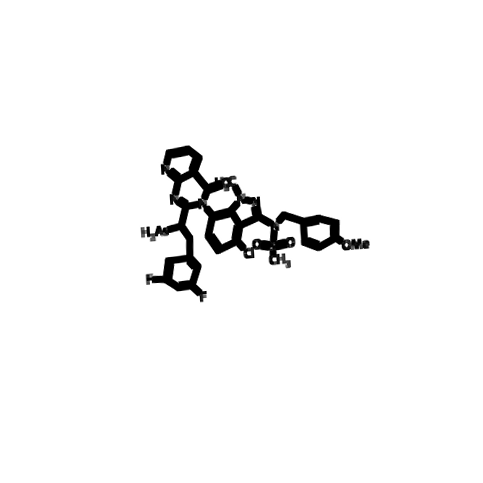 COc1ccc(CN(c2nn(C)c3c(-n4c(C([AsH2])Cc5cc(F)cc(F)c5)nc5ncccc5c4=O)ccc(Cl)c23)S(C)(=O)=O)cc1